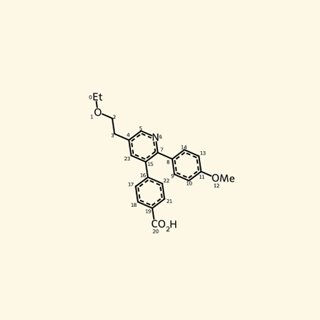 CCOCCc1cnc(-c2ccc(OC)cc2)c(-c2ccc(C(=O)O)cc2)c1